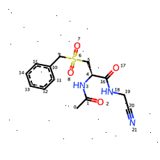 CC(=O)N[C@@H](CS(=O)(=O)Cc1ccccc1)C(=O)NCC#N